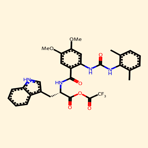 COc1cc(NC(=O)Nc2c(C)cccc2C)c(C(=O)N[C@@H](Cc2c[nH]c3ccccc23)C(=O)OC(=O)C(F)(F)F)cc1OC